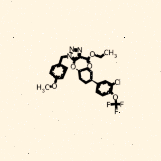 CCOC(=O)c1nnn(Cc2ccc(OC)cc2)c1O[C@H]1CC[C@H](c2ccc(OC(F)(F)F)c(Cl)c2)CC1